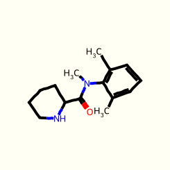 Cc1cccc(C)c1N(C)C(=O)C1CCCCN1